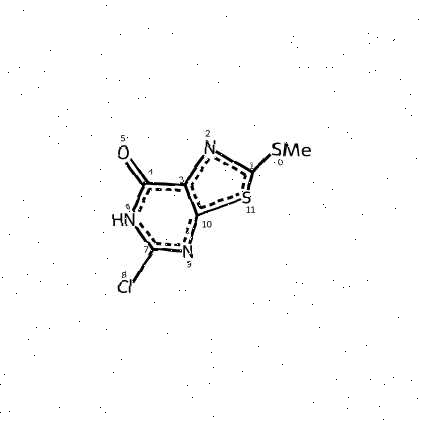 CSc1nc2c(=O)[nH]c(Cl)nc2s1